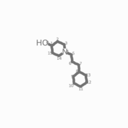 OC1CCN(CCCC2CCCCC2)CC1